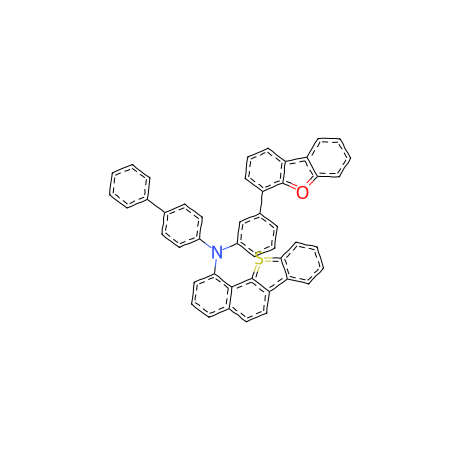 c1ccc(-c2ccc(N(c3cccc(-c4cccc5c4oc4ccccc45)c3)c3cccc4ccc5c6ccccc6sc5c34)cc2)cc1